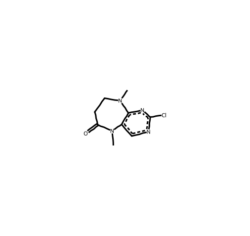 CN1CCC(=O)N(C)c2cnc(Cl)nc21